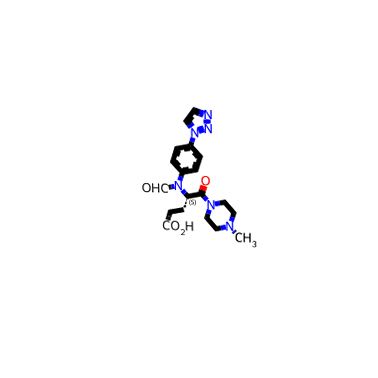 CN1CCN(C(=O)[C@H](CCC(=O)O)N(C=O)c2ccc(-n3ccnn3)cc2)CC1